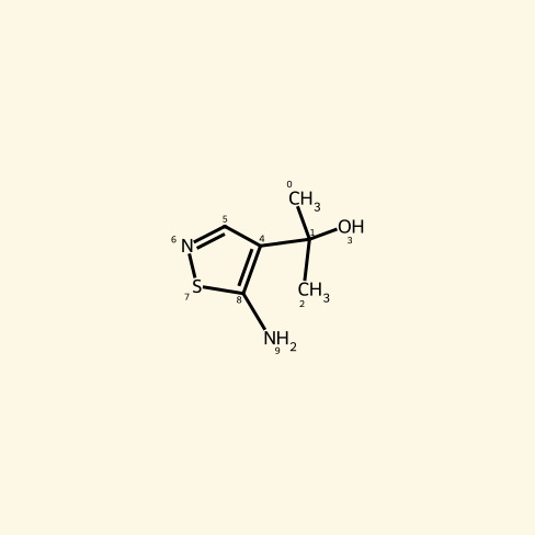 CC(C)(O)c1cnsc1N